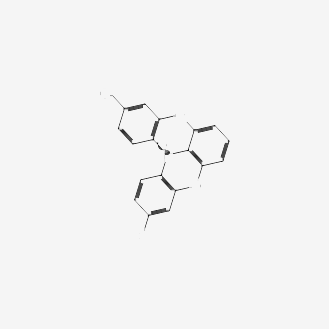 O=P12c3ccc(Cl)cc3Oc3cccc(c31)Oc1cc(Cl)ccc12